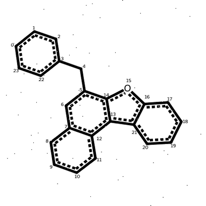 c1ccc(Cc2cc3ccccc3c3c2oc2ccccc23)cc1